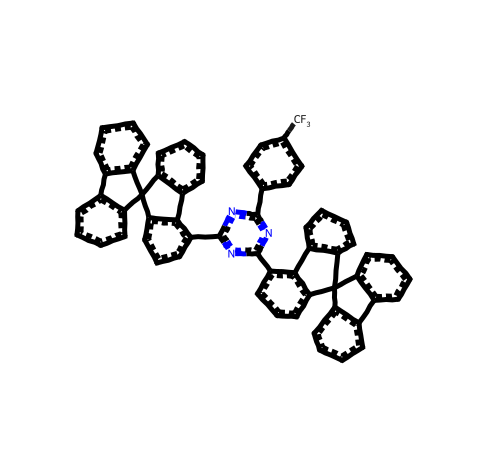 FC(F)(F)c1ccc(-c2nc(-c3cccc4c3-c3ccccc3C43c4ccccc4-c4ccccc43)nc(-c3cccc4c3-c3ccccc3C43c4ccccc4-c4ccccc43)n2)cc1